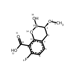 CO[C@H]1Cc2ccc(F)c(C(=O)O)c2OB1O